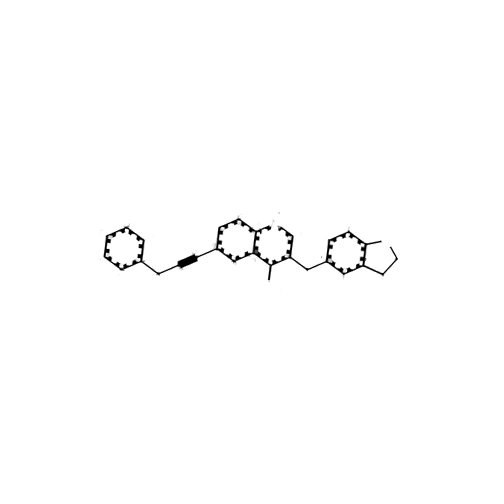 Oc1c(Cc2ccc3c(c2)CCS3)cnc2ccc(C#CCc3ccccc3)cc12